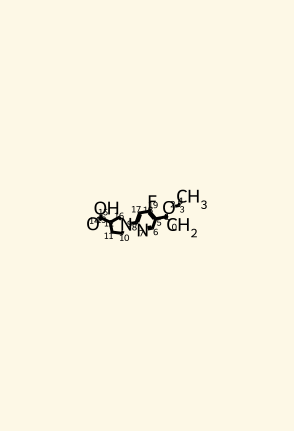 C=C(OCC)c1cnc(N2CCC(C(=O)O)C2)cc1F